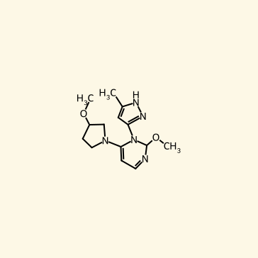 COC1CCN(C2=CC=NC(OC)N2c2cc(C)[nH]n2)C1